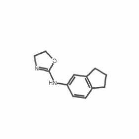 c1cc2c(cc1NC1=NCCO1)CCC2